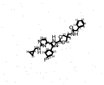 CC1(CNC(=O)Cc2ccccc2)COC(c2nc(-c3ccc(F)cc3)c(-c3ccnc(NCC4CC4)n3)[nH]2)OC1